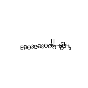 CCOCCOCCOCCOCCOCCOCCOCCOCCNC(=O)CCCCCN1C(=O)C1(C)C